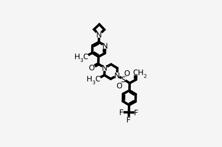 C=CC(c1ccc(C(F)(F)F)cc1)S(=O)(=O)N1CCN(C(=O)c2cnc(N3CCC3)cc2C)C(C)C1